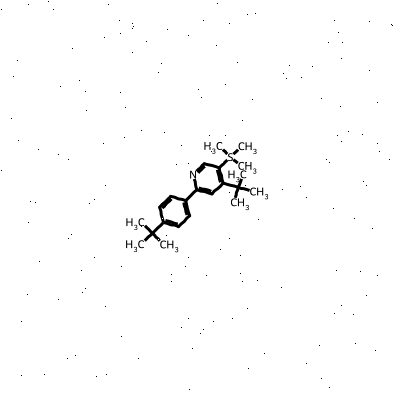 CC(C)(C)c1ccc(-c2cc(C(C)(C)C)c(S(C)(C)C)cn2)cc1